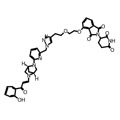 O=C1CCC(N2C(=O)c3cccc(OCCOCCc4cn(Cc5cccc(N6C[C@H]7C[C@@H]6CN7/C=C/C(=O)c6ccccc6O)n5)nn4)c3C2=O)C(=O)N1